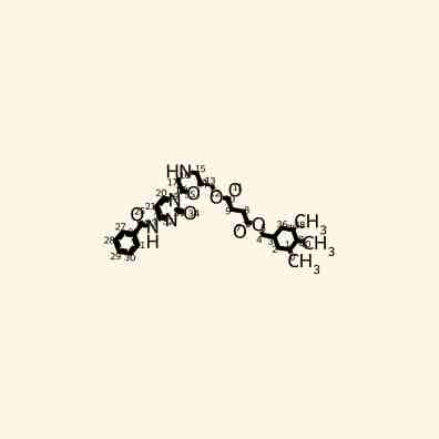 CC1CC(COC(=O)CCC(=O)OC[C@@H]2CNC[C@H](n3ccc(NC(=O)c4ccccc4)nc3=O)O2)CC(C)C1C